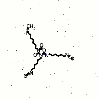 C=C=NCCCCCCn1c(=O)o/c(=N\CCCCCCN=C=O)n(CCCCCCN=C=O)c1=O